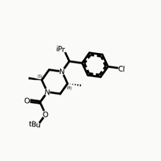 CC(C)C(c1ccc(Cl)cc1)N1C[C@H](C)N(C(=O)OC(C)(C)C)C[C@H]1C